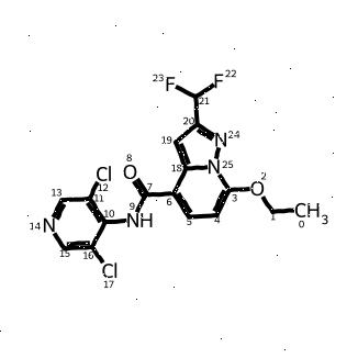 CCOc1ccc(C(=O)Nc2c(Cl)cncc2Cl)c2cc(C(F)F)nn12